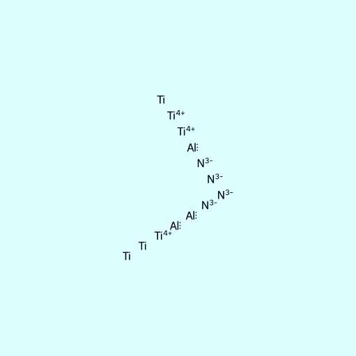 [Al].[Al].[Al].[N-3].[N-3].[N-3].[N-3].[Ti+4].[Ti+4].[Ti+4].[Ti].[Ti].[Ti]